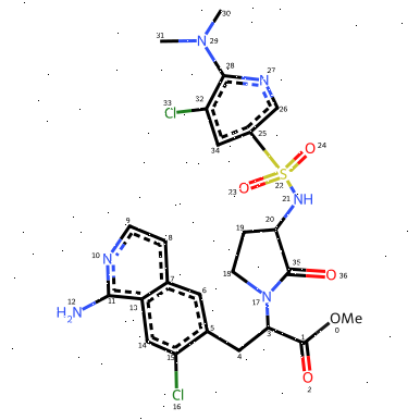 COC(=O)C(Cc1cc2ccnc(N)c2cc1Cl)N1CCC(NS(=O)(=O)c2cnc(N(C)C)c(Cl)c2)C1=O